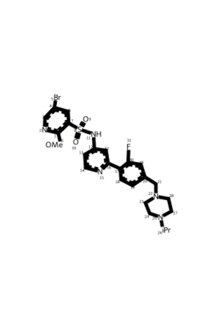 COc1ncc(Br)cc1S(=O)(=O)Nc1ccnc(-c2ccc(CN3CCN(C(C)C)CC3)cc2F)c1